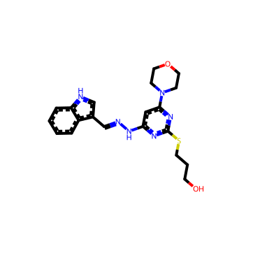 OCCCSc1nc(N/N=C/c2c[nH]c3ccccc23)cc(N2CCOCC2)n1